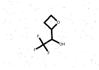 OC(C1CCO1)C(F)(F)F